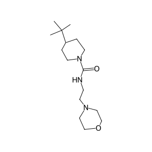 CC(C)(C)C1CCN(C(=O)NCCN2CCOCC2)CC1